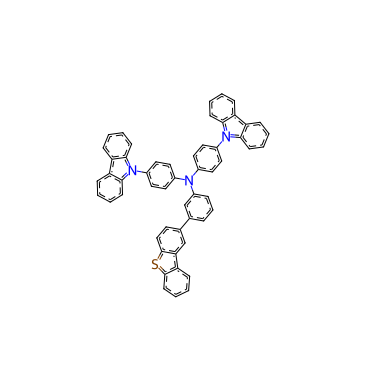 c1cc(-c2ccc3sc4ccccc4c3c2)cc(N(c2ccc(-n3c4ccccc4c4ccccc43)cc2)c2ccc(-n3c4ccccc4c4ccccc43)cc2)c1